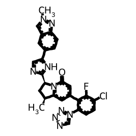 C[C@H]1C[C@@H](c2ncc(-c3ccc4nn(C)cc4c3)[nH]2)n2c1cc(-c1c(-n3cnnn3)ccc(Cl)c1F)cc2=O